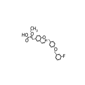 CCO[C@@H](Cc1ccc2c(c1)C=C[C@@H](Cc1ccc(OCc3cccc(F)c3)cc1)O2)C(=O)O